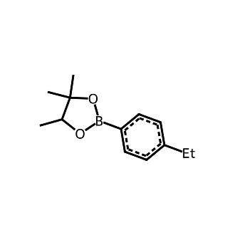 CCc1ccc(B2OC(C)C(C)(C)O2)cc1